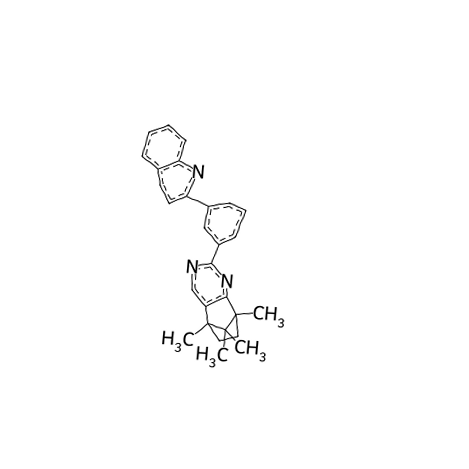 CC12CCC(C)(c3nc(-c4cccc(-c5ccc6ccccc6n5)c4)ncc31)C2(C)C